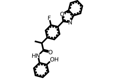 CC(C(=O)Nc1ccccc1O)c1ccc(-c2nc3ccccc3o2)c(F)c1